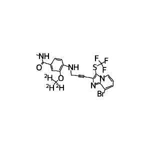 [2H]C([2H])([2H])Oc1cc(C(=O)NC)ccc1NCC#Cc1nc2c(Br)cccn2c1SC(F)(F)F